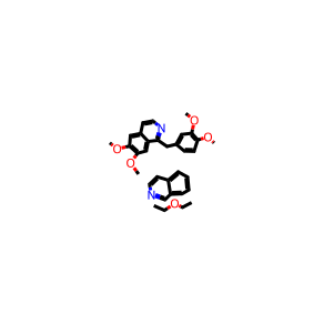 CCOCC.COc1ccc(Cc2nccc3cc(OC)c(OC)cc23)cc1OC.c1ccc2cnccc2c1